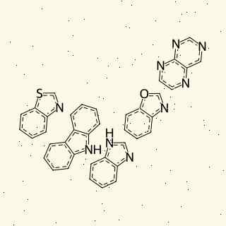 c1ccc2[nH]cnc2c1.c1ccc2c(c1)[nH]c1ccccc12.c1ccc2ocnc2c1.c1ccc2scnc2c1.c1cnc2ncncc2n1